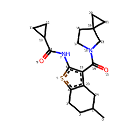 CC1CCc2sc(NC(=O)C3CC3)c(C(=O)N3CCC4(CC4)C3)c2C1